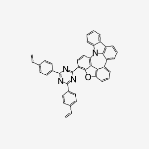 C=Cc1ccc(-c2nc(-c3ccc(C=C)cc3)nc(-c3ccc4c5c3oc3cccc(c6cccc7c8ccccc8n4c67)c35)n2)cc1